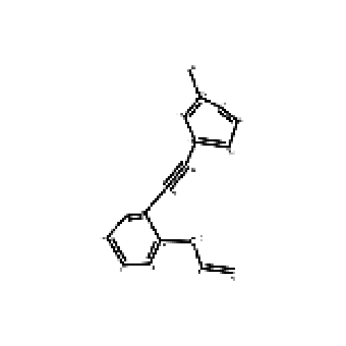 C=COc1ccccc1C#Cc1cccc(C)c1